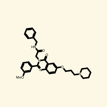 COc1cccc(-c2nc3ccc(OCCCN4CCCCC4)cc3c(=O)n2CC(=O)NCc2ccccc2)c1